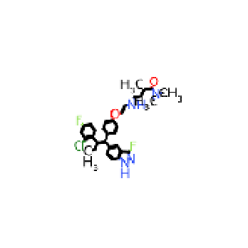 CC/C(=C(/c1ccc(OCCNC/C=C(\C)C(=O)N(C)C)cc1)c1ccc2[nH]nc(F)c2c1)c1ccc(F)cc1Cl